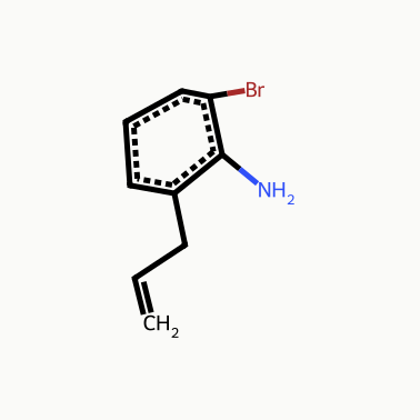 C=CCc1cccc(Br)c1N